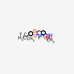 CC(C)(c1ccc(OC(Cc2ccc(NS(C)(=O)=O)cc2)C(=O)NF)cc1)C(F)(F)F